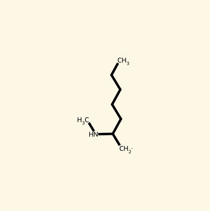 [CH2]C(CCCCC)NC